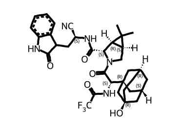 CC1(C)[C@@H]2[C@@H](C(=O)N[C@H](C#N)CC3C(=O)Nc4ccccc43)N(C(=O)[C@@H](NC(=O)C(F)(F)F)[C@@]34C[C@@H]5C[C@@H](C[C@](O)(C5)C3)C4)C[C@@H]21